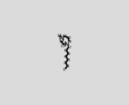 CCCCCCCCN1CCCN(C)CC1